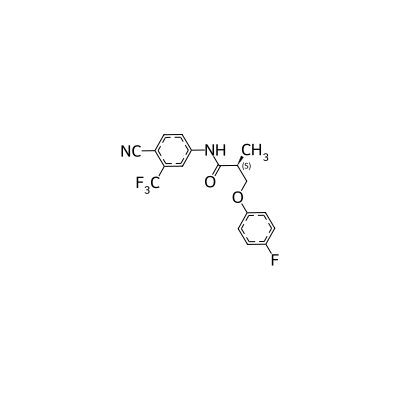 C[C@@H](COc1ccc(F)cc1)C(=O)Nc1ccc(C#N)c(C(F)(F)F)c1